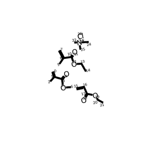 C=C(C)C(=O)OC.C=C(C)C(=O)OCC.C=CC(=O)OCC.C[N+](C)(C)Cl